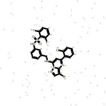 O=S(=O)(Nc1cccc(CNc2cc(-c3ccccc3Cl)nc3c(Br)cnn23)c1)c1c(F)cccc1F